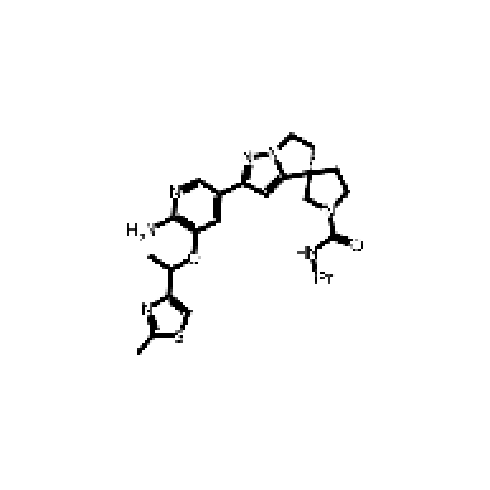 Cc1nc(C(C)Oc2cc(-c3cc4n(n3)CC[C@@]43CCN(C(=O)NC(C)C)C3)cnc2N)cs1